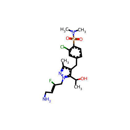 Cc1nn(CC(F)=CCN)c(C(C)O)c1Cc1ccc(S(=O)(=O)N(C)C)c(Cl)c1